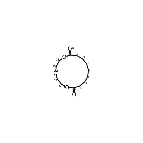 O=C1CCCCCCCC(=O)OCCOCCO1